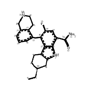 CC[C@H]1CCc2c([nH]c3c(C(N)=O)cc(F)c(-c4cccc5c4CCNC5)c23)C1